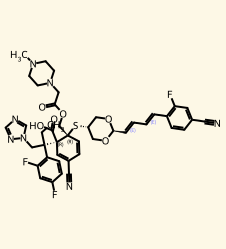 CCC(Cn1cncn1)(c1ccc(F)cc1F)[C@@]1(C(=O)O)C=C(C#N)C=C[C@@]1(COC(=O)CN1CCN(C)CC1)S[C@H]1CO[C@H](/C=C/C=C/c2ccc(C#N)cc2F)OC1